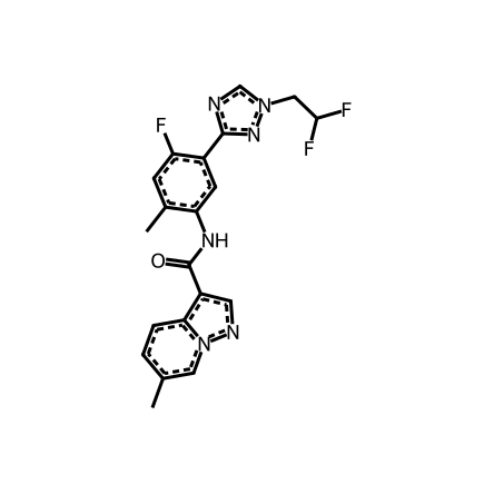 Cc1ccc2c(C(=O)Nc3cc(-c4ncn(CC(F)F)n4)c(F)cc3C)cnn2c1